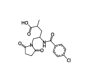 CC(CC(CN1C(=O)CCC1=O)NC(=O)c1ccc(Cl)cc1)C(=O)O